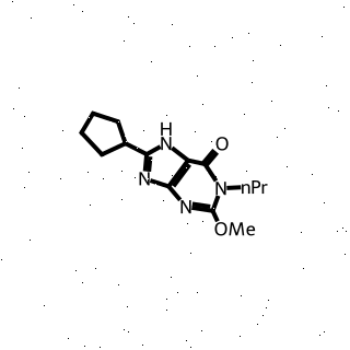 CCCn1c(OC)nc2nc(C3CCCC3)[nH]c2c1=O